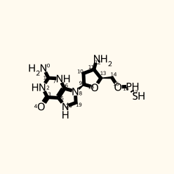 NC1NC(=O)C2=C(N1)N([C@H]1CC(N)[C@@H](COPS)O1)CN2